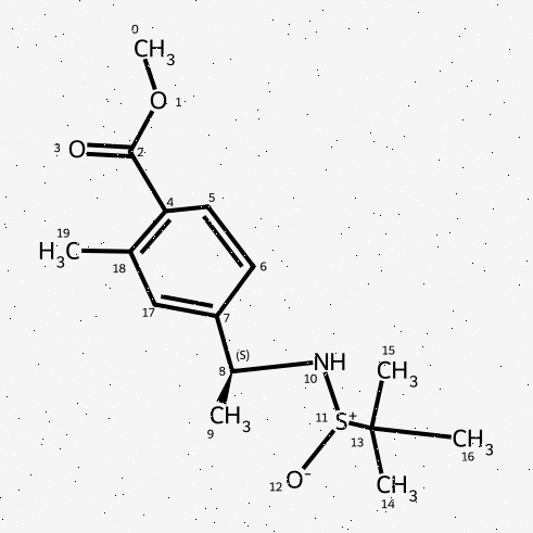 COC(=O)c1ccc([C@H](C)N[S+]([O-])C(C)(C)C)cc1C